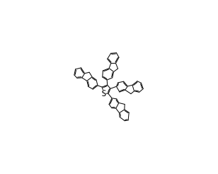 c1ccc2c(c1)Cc1cc(-c3sc(-c4ccc5c(c4)Cc4ccccc4-5)c(-c4ccc5c(c4)Cc4ccccc4-5)c3-c3ccc4c(c3)Cc3ccccc3-4)ccc1-2